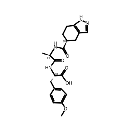 COc1ccc(C[C@H](NC(=O)[C@@H](C)NC(=O)[C@H]2CCc3[nH]ncc3C2)C(=O)O)cc1